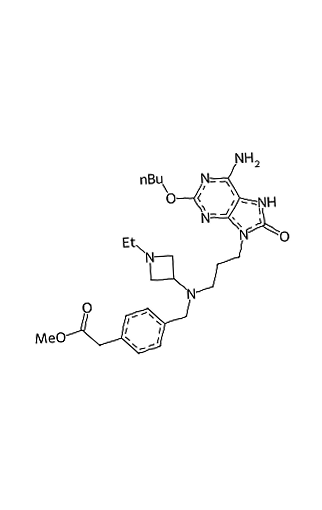 CCCCOc1nc(N)c2[nH]c(=O)n(CCCN(Cc3ccc(CC(=O)OC)cc3)C3CN(CC)C3)c2n1